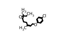 CCC1(C)OC1CCC(C)=CCOc1ccc(Cl)cc1